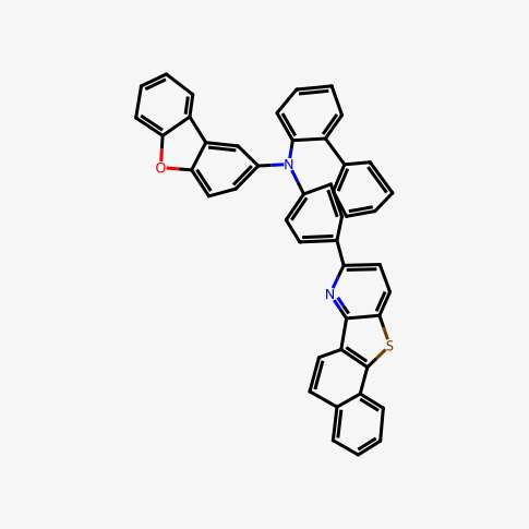 c1ccc(-c2ccccc2N(c2ccc(-c3ccc4sc5c6ccccc6ccc5c4n3)cc2)c2ccc3oc4ccccc4c3c2)cc1